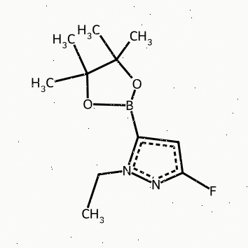 CCn1nc(F)cc1B1OC(C)(C)C(C)(C)O1